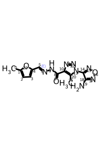 Cc1ccc(/C=N/NC(=O)c2nnn(-c3nonc3N)c2C)o1